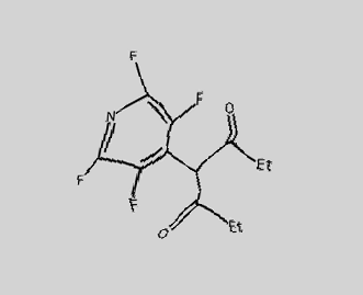 CCC(=O)C(C(=O)CC)c1c(F)c(F)nc(F)c1F